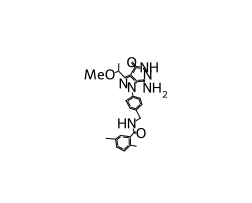 COC(C)c1nn(-c2ccc(CNC(=O)c3cc(C)ccc3C)cc2)c2c(N)n[nH]c(=O)c12